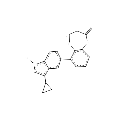 CC[C@H](C)n1nc(C2CC2)c2cc(-c3cccc4c3N[C@H](C)CC(=O)N4)ccc21